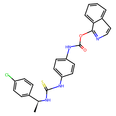 C[C@H](NC(=S)Nc1ccc(NC(=O)Oc2nccc3ccccc23)cc1)c1ccc(Cl)cc1